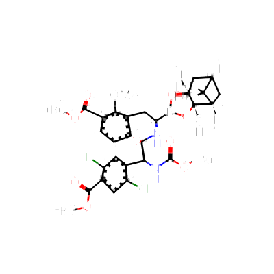 COc1c(CC(NC(=O)C(NC(=O)OC(C)(C)C)c2cc(F)c(C(=O)OC(C)(C)C)cc2Cl)B2O[C@@H]3C[C@@H]4C[C@@H](C4(C)C)[C@]3(C)O2)cccc1C(=O)OC(C)(C)C